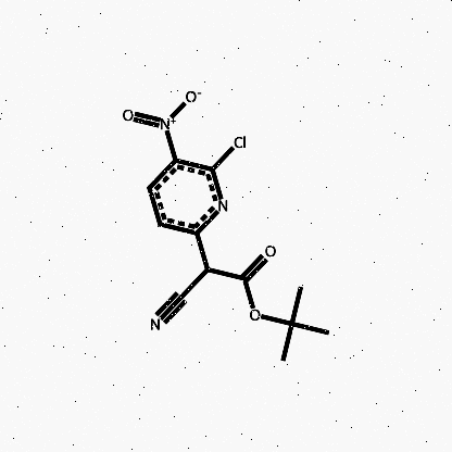 CC(C)(C)OC(=O)C(C#N)c1ccc([N+](=O)[O-])c(Cl)n1